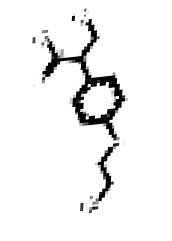 CCCOc1ccc(C(CC)C(N)=O)cc1